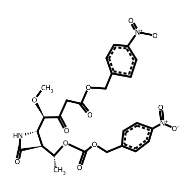 CO[C@@H](C(=O)CC(=O)OCc1ccc([N+](=O)[O-])cc1)[C@H]1NC(=O)[C@@H]1[C@@H](C)OC(=O)OCc1ccc([N+](=O)[O-])cc1